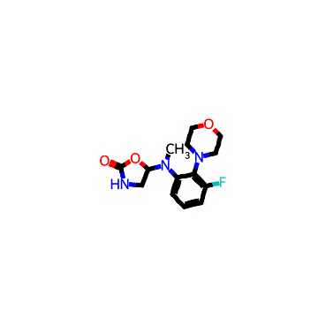 CN(c1cccc(F)c1N1CCOCC1)C1CNC(=O)O1